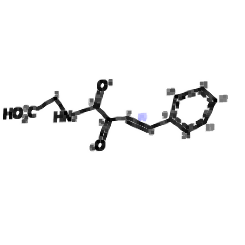 O=C(O)CNC(=O)C(=O)/C=C/c1ccccc1